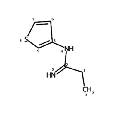 CCC(=N)Nc1ccsc1